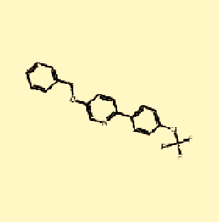 FC(F)(F)Oc1ccc(-c2ccc(OCc3ccccc3)cn2)cc1